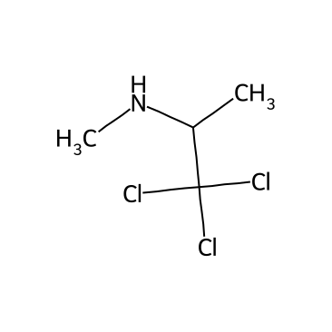 CNC(C)C(Cl)(Cl)Cl